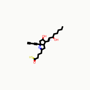 C#CC#CC12CC(O)C(/C=C/C(O)CCCCC)C1CC(CCCC(=O)S)=N2